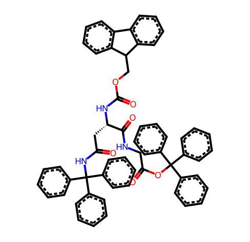 O=C(C[C@H](NC(=O)OCC1c2ccccc2-c2ccccc21)C(=O)NCC(=O)OC(c1ccccc1)(c1ccccc1)c1ccccc1)NC(c1ccccc1)(c1ccccc1)c1ccccc1